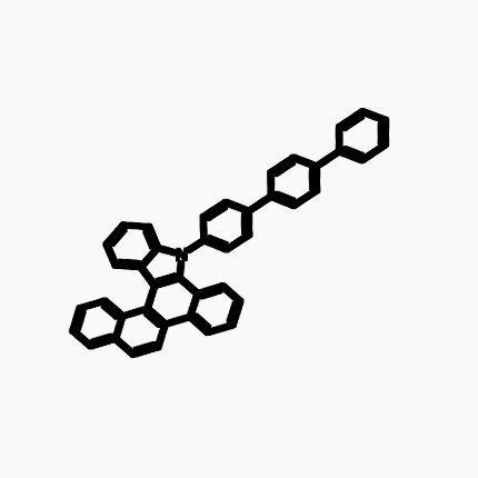 c1ccc(-c2ccc(-c3ccc(-n4c5ccccc5c5c6c7ccccc7ccc6c6ccccc6c54)cc3)cc2)cc1